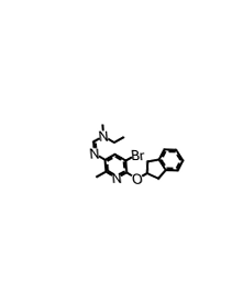 CCN(C)/C=N\c1cc(Br)c(OC2Cc3ccccc3C2)nc1C